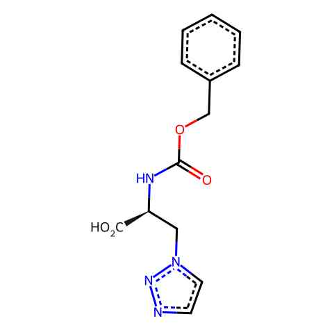 O=C(N[C@@H](Cn1ccnn1)C(=O)O)OCc1ccccc1